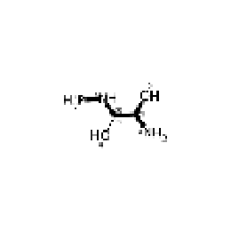 NC(O)[C@H](O)NP